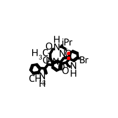 Cc1cccc2c(C(=O)CNC(=O)c3nc4oc3[C@]35c6cc(ccc6OC3Nc3c(Br)cccc35)C[C@H](C)C(=O)NC4C(C)C)c[nH]c12